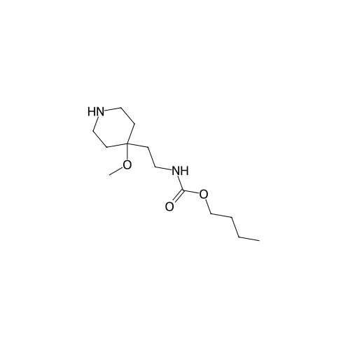 CCCCOC(=O)NCCC1(OC)CCNCC1